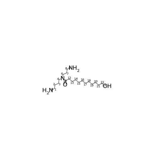 NCCCCN(CCCN)C(=O)CCCCCCCCCCCO